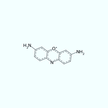 Nc1ccc2nc3ccc(N)cc3[o+]c2c1